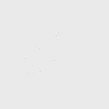 O=C(OC1(c2ccccc2)CNC1)C(F)(F)F